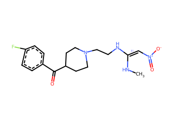 CN/C(=C\[N+](=O)[O-])NCCN1CCC(C(=O)c2ccc(F)cc2)CC1